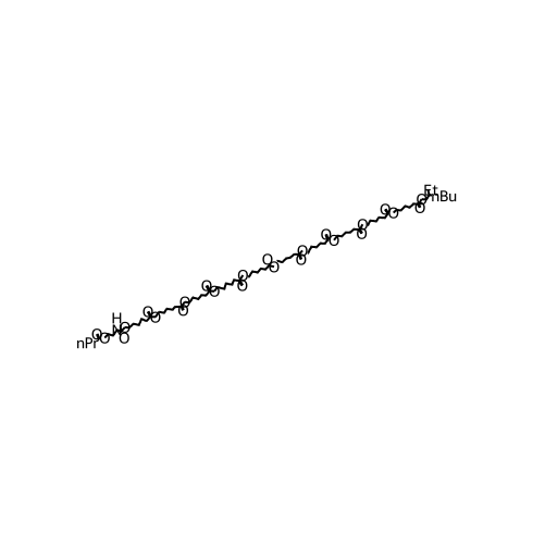 CCCCC(CC)COC(=O)CCCCCOC(=O)CCCCCOC(=O)CCCCCOC(=O)CCCCCOC(=O)CCCCCOC(=O)CCCCCOC(=O)CCCCCOC(=O)CCCCCOC(=O)CCCCCOC(=O)CCCCCOC(=O)NCCOC(=O)CCC